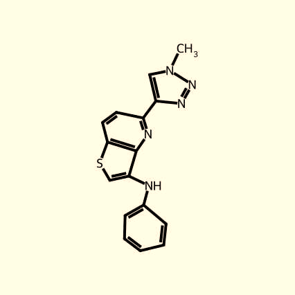 Cn1cc(-c2ccc3scc(Nc4ccccc4)c3n2)nn1